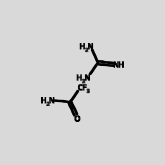 N=C(N)N.NC(=O)C(F)(F)F